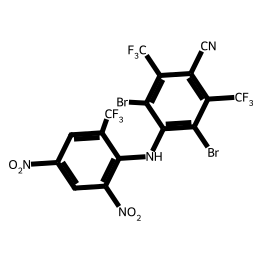 N#Cc1c(C(F)(F)F)c(Br)c(Nc2c([N+](=O)[O-])cc([N+](=O)[O-])cc2C(F)(F)F)c(Br)c1C(F)(F)F